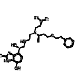 CCN(CC)CCN(CCNC[C@H](O)c1ccc(O)c2[nH]c(=O)sc12)C(=O)CCOCCc1ccccc1